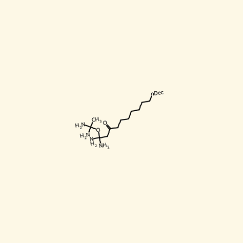 CCCCCCCCCCCCCCCCCC(=O)CC(N)(N)OC(C)(N)N